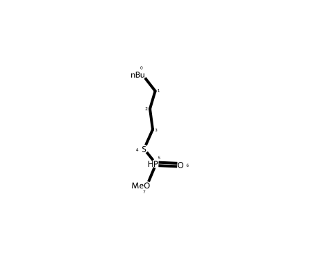 CCCCCCCS[PH](=O)OC